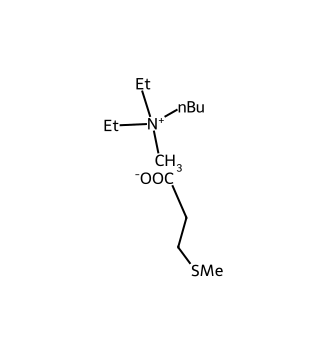 CCCC[N+](C)(CC)CC.CSCCC(=O)[O-]